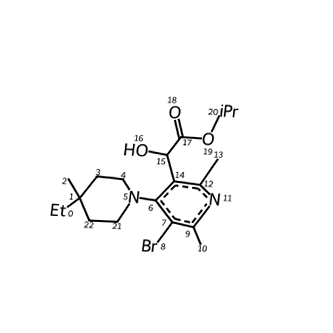 CCC1(C)CCN(c2c(Br)c(C)nc(C)c2C(O)C(=O)OC(C)C)CC1